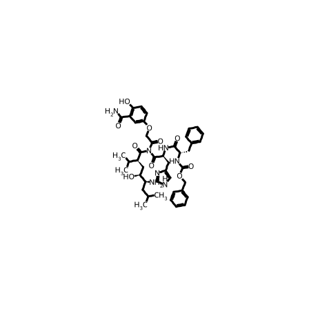 CC(C)C[C@H](N)[C@@H](O)C[C@H](C(=O)N(C(=O)COc1ccc(O)c(C(N)=O)c1)C(=O)[C@H](Cc1c[nH]cn1)NC(=O)[C@H](Cc1ccccc1)NC(=O)OCc1ccccc1)C(C)C